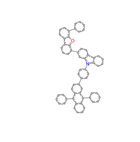 c1ccc(-c2c3ccccc3c(-c3ccccc3)c3cc(-c4ccc(-n5c6ccccc6c6ccc(-c7cccc8c7oc7c(-c9ccccc9)cccc78)cc65)cc4)ccc23)cc1